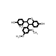 COc1cc(C)c(C2c3ccc(O)cc3OCC2c2ccc(O)cc2)c(OC)c1